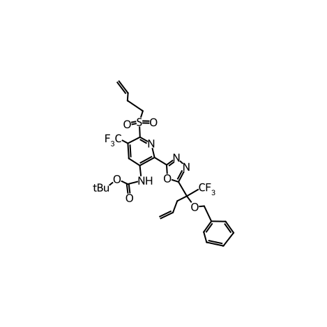 C=CCCS(=O)(=O)c1nc(-c2nnc(C(CC=C)(OCc3ccccc3)C(F)(F)F)o2)c(NC(=O)OC(C)(C)C)cc1C(F)(F)F